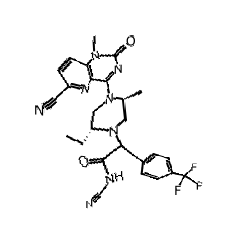 CC[C@@H]1CN(c2nc(=O)n(C)c3ccc(C#N)nc23)[C@@H](C)CN1C(C(=O)NC#N)c1ccc(C(F)(F)F)cc1